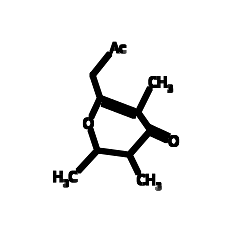 CC(=O)CC1=C(C)C(=O)C(C)C(C)O1